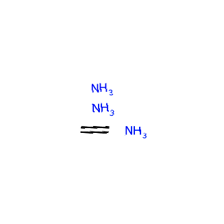 C=C.N.N.N